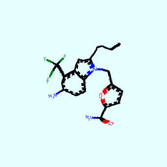 CCCc1cc2c(C(F)(F)F)c(N)ccc2n1Cc1ccc(C(N)=O)o1